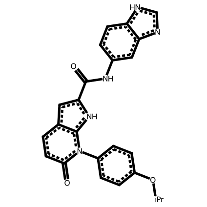 CC(C)Oc1ccc(-n2c(=O)ccc3cc(C(=O)Nc4ccc5[nH]cnc5c4)[nH]c32)cc1